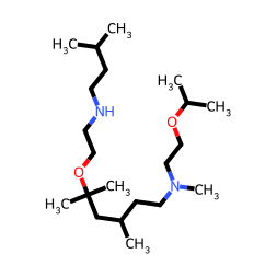 CC(C)CCNCCOC(C)(C)CC(C)CCN(C)CCOC(C)C